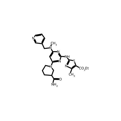 CCOC(=O)c1sc(Nc2nc(N(C)Cc3cccnc3)cc(N3CCCC(C(N)=O)C3)n2)nc1C